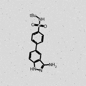 CC(C)(C)NS(=O)(=O)c1ccc(-c2ccc3[nH]nc(N)c3c2)cc1